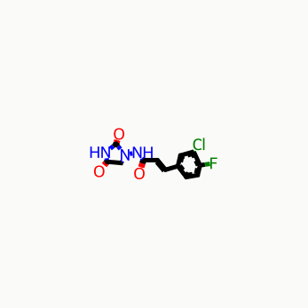 O=C(C=Cc1ccc(F)c(Cl)c1)NN1CC(=O)NC1=O